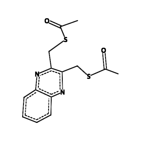 CC(=O)SCc1nc2ccccc2nc1CSC(C)=O